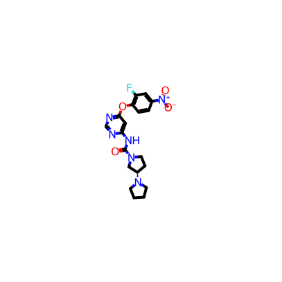 O=C(Nc1cc(Oc2ccc([N+](=O)[O-])cc2F)ncn1)N1CC[C@H](N2CCCC2)C1